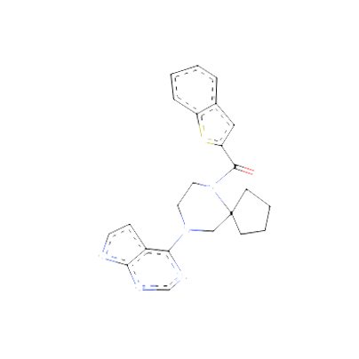 O=C(c1cc2ccccc2s1)N1CCN(c2ncnc3[nH]ccc23)CC12CCCC2